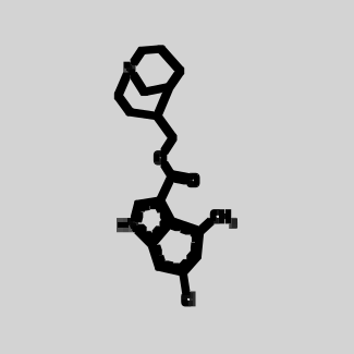 Cc1cc(Cl)cc2[nH]cc(C(=O)OCC3CCN4CCCC3C4)c12